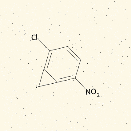 O=[N+]([O-])c1ccc(Cl)c2c1[C]2